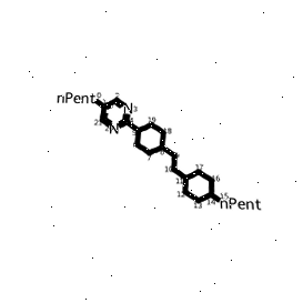 CCCCCc1cnc(C2CCC(CCC3CCC(CCCCC)CC3)CC2)nc1